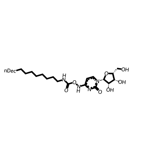 CCCCCCCCCCCCCCCCCCNC(=O)ONc1ccn([C@@H]2O[C@H](CO)[C@H](O)[C@@H]2O)c(=O)n1